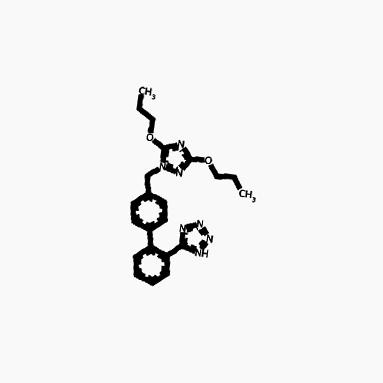 CCCOc1nc(OCCC)n(Cc2ccc(-c3ccccc3-c3nnn[nH]3)cc2)n1